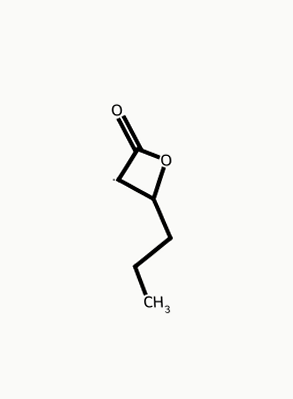 CCCC1[CH]C(=O)O1